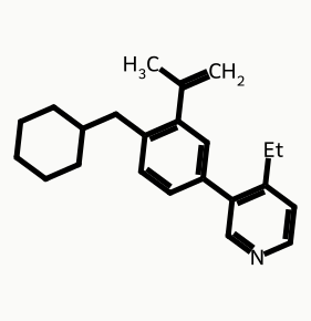 C=C(C)c1cc(-c2cnccc2CC)ccc1CC1CCCCC1